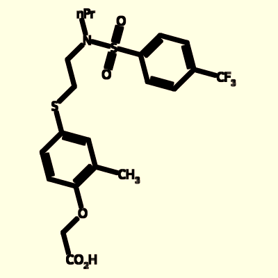 CCCN(CCSc1ccc(OCC(=O)O)c(C)c1)S(=O)(=O)c1ccc(C(F)(F)F)cc1